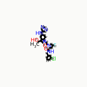 CC(O)c1cn(CC(=O)N2C[C@H](F)C[C@H]2C(=O)NCc2cccc(Cl)c2)c2ccc(Nc3cncnc3)cc12